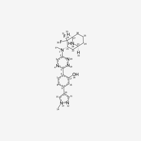 CN(c1cnc(-c2ccc(-c3cnn(C)c3)cc2O)nn1)[C@H]1C[C@@H]2CCC[C@@H](N2)C1(F)F